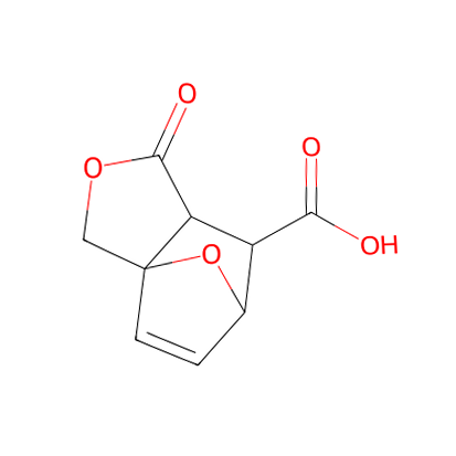 O=C(O)C1C2C=CC3(COC(=O)C13)O2